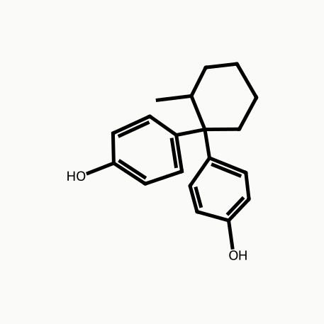 CC1CCCCC1(c1ccc(O)cc1)c1ccc(O)cc1